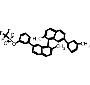 Cc1cccc(-c2ccc3ccc(C)c(-c4c(C)ccc5ccc(-c6cccc(OS(=O)(=O)C(F)(F)F)c6)cc45)c3c2)c1